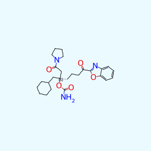 NC(=O)O[C@](CCCC(=O)c1nc2ccccc2o1)(CC(=O)N1CCCC1)CC1CCCCC1